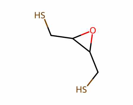 SCC1OC1CS